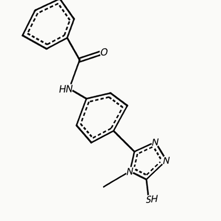 Cn1c(S)nnc1-c1ccc(NC(=O)c2ccccc2)cc1